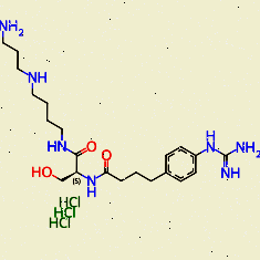 Cl.Cl.Cl.N=C(N)Nc1ccc(CCCC(=O)N[C@@H](CO)C(=O)NCCCCNCCCN)cc1